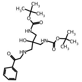 CC(C)(C)OC(=O)NCC(O)(CNCC(=O)c1ccccc1)CNC(=O)OC(C)(C)C